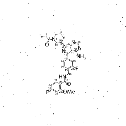 C=CC(=O)N1CCC[C@@H](n2nc(-c3ccc(CNC(=O)c4ccc(F)cc4OC)c(F)c3)c3c(N)ncnc32)C1